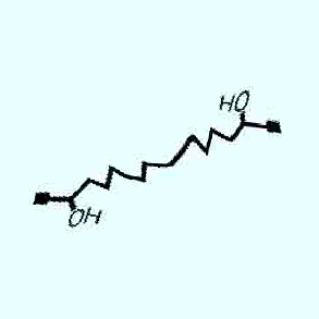 C#CC(O)CCCCCCCCCCC(O)C#C